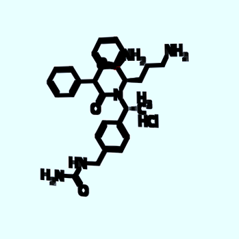 C[C@H](c1ccc(CNC(N)=O)cc1)N(C(=O)C(c1ccccc1)c1ccccc1)[C@H](CCCN)C(N)=O.Cl